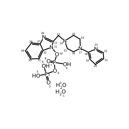 O.O.O=P(O)(O)OP(=O)(O)On1c(CN2CCN(c3ccccn3)CC2)nc2ccccc21